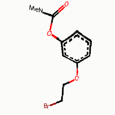 CNC(=O)Oc1cccc(OCCBr)c1